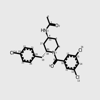 CC(=O)N[C@H]1CCN(C(=O)c2cc(Cl)cc(Cl)c2)[C@H](Cc2ccc(Cl)cc2)C1